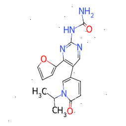 CC(C)n1cc(-c2cnc(NC(N)=O)nc2-c2ccco2)ccc1=O